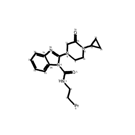 CC(C)CCNC(=O)n1c(N2CCN(C3CC3)C(=O)C2)nc2ccccc21